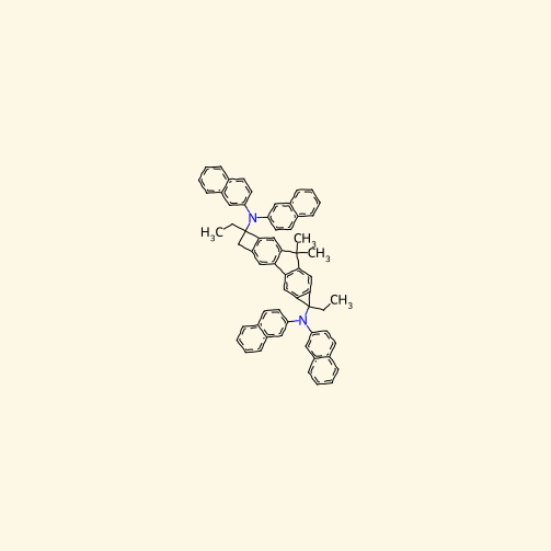 CCC1(N(c2ccc3ccccc3c2)c2ccc3ccccc3c2)Cc2cc3c(cc21)C(C)(C)c1cc2c(cc1-3)C2(CC)N(c1ccc2ccccc2c1)c1ccc2ccccc2c1